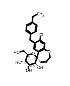 CCc1ccc(Cc2cc3c(cc2Cl)OCCC[C@]32O[C@H](CO)[C@@H](O)[C@H](O)[C@H]2O)cc1